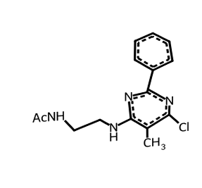 CC(=O)NCCNc1nc(-c2ccccc2)nc(Cl)c1C